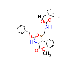 COC(=O)C(NC(=O)OCc1ccccc1)C(SCCNC(=O)OC(C)(C)C)c1ccccc1